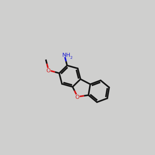 COc1cc2oc3ccccc3c2cc1N